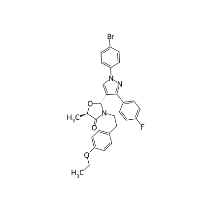 CCOc1ccc(CCN2C(=O)[C@@H](C)O[C@@H]2c2cn(-c3ccc(Br)cc3)nc2-c2ccc(F)cc2)cc1